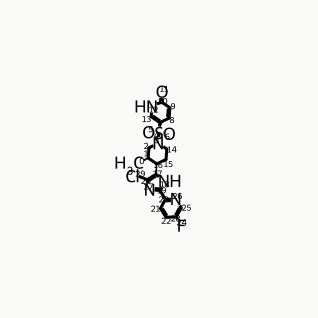 C[C@H]1CN(S(=O)(=O)c2ccc(=O)[nH]c2)CC[C@H]1c1[nH]c(-c2ccc(F)cn2)nc1Cl